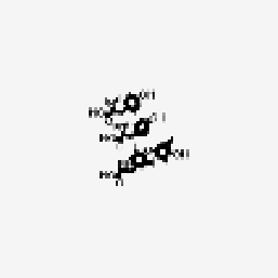 N[C@@H](Cc1cc(I)c(Oc2cc(I)c(O)c(I)c2)c(I)c1)C(=O)O.O=C(O)C(Cc1ccc(O)cc1)N(I)I.O=C(O)C(Cc1ccc(O)cc1)N(I)I